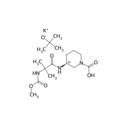 CC(C)(C)[O-].COC(=O)NC(C)(C)C(=O)N[C@H]1CCCN(C(=O)O)C1.[K+]